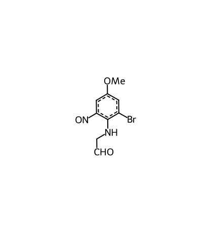 COc1cc(Br)c(NCC=O)c(N=O)c1